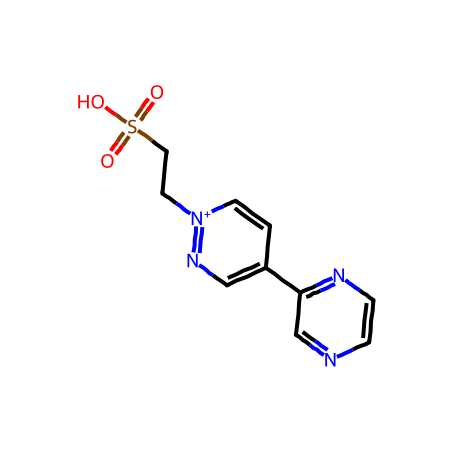 O=S(=O)(O)CC[n+]1ccc(-c2cnccn2)cn1